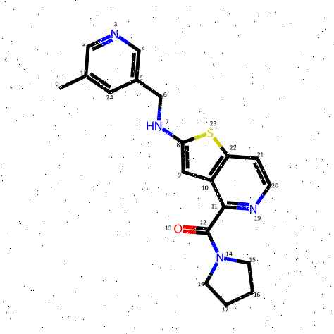 Cc1cncc(CNc2cc3c(C(=O)N4CCCC4)nccc3s2)c1